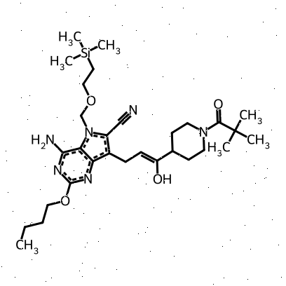 CCCCOc1nc(N)c2c(n1)c(CC=C(O)C1CCN(C(=O)C(C)(C)C)CC1)c(C#N)n2COCC[Si](C)(C)C